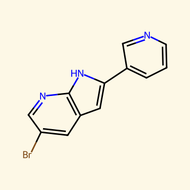 Brc1cnc2[nH]c(-c3cccnc3)cc2c1